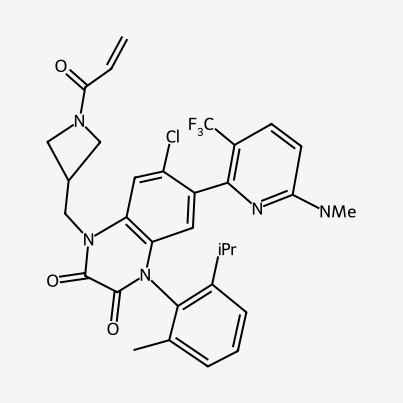 C=CC(=O)N1CC(Cn2c(=O)c(=O)n(-c3c(C)cccc3C(C)C)c3cc(-c4nc(NC)ccc4C(F)(F)F)c(Cl)cc32)C1